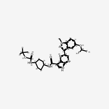 Cn1nc(-c2cnc3[nH]cc(C(=O)NC4CCC(NC(=O)OC(C)(C)C)CC4)c3n2)c2cc(OC(F)F)ccc21